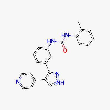 Cc1ccccc1NC(=O)Nc1cccc(-c2n[nH]cc2-c2ccncc2)c1